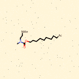 CNCCN(C)C(=O)OCCCCCCCCCC(C)=O